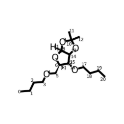 CCCCOC[C@H]1O[C@@H]2OC(C)(C)OC2[C@H]1OCCCC